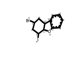 BrC1CC(I)C2Oc3ccccc3C2C1